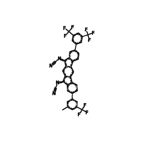 Cc1cc(-c2ccc3c(c2)/c(=N\C#N)c2cc4/c(=N\C#N)c5cc(-c6cc(C(F)(F)F)cc(C(F)(F)F)c6)ccc5c4cc23)cc(C(F)(F)F)c1